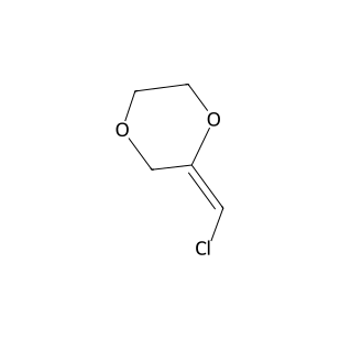 ClC=C1COCCO1